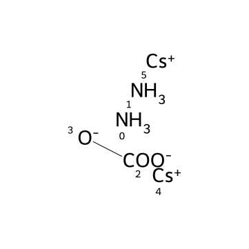 N.N.O=C([O-])[O-].[Cs+].[Cs+]